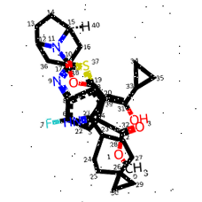 COC(=O)c1cc(F)c2nc(N3C4CC[C@H]3CC(OC/C(C(=N)C3CCC5(CC3)CC5)=C(/O)C3CC3)C4)sc2c1